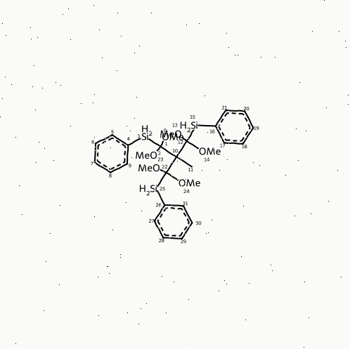 COC(OC)([SiH2]c1ccccc1)C(C)(C(OC)(OC)[SiH2]c1ccccc1)C(OC)(OC)[SiH2]c1ccccc1